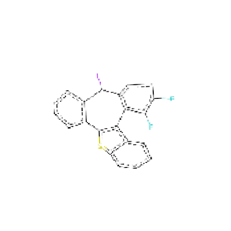 Fc1ccc2c(c1F)-c1c(sc3ccccc13)-c1ccccc1C2I